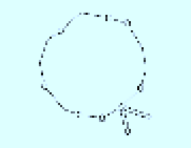 O=S1(=O)OCCOCCOCCOCCO1